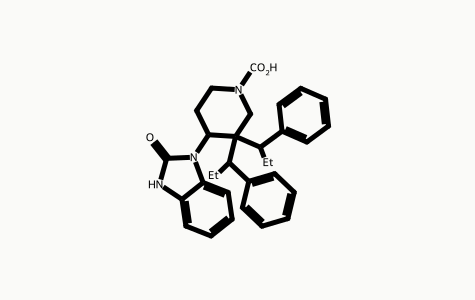 CCC(c1ccccc1)C1(C(CC)c2ccccc2)CN(C(=O)O)CCC1n1c(=O)[nH]c2ccccc21